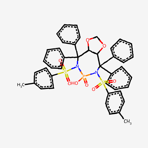 Cc1ccc(S(=O)(=O)N2C(c3ccccc3)(c3ccccc3)C3OCOC3C(c3ccccc3)(c3ccccc3)N(S(=O)(=O)c3ccc(C)cc3)P2(=O)O)cc1